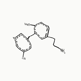 N#Cc1cncc(-c2cc(CCN)ccc2O)c1